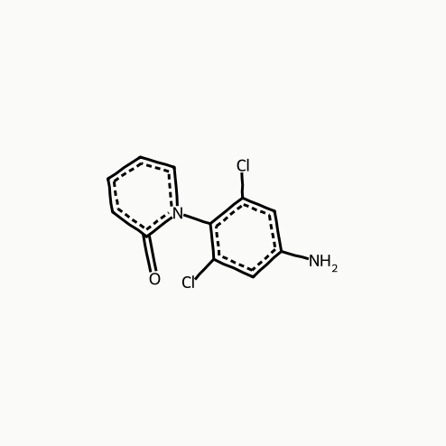 Nc1cc(Cl)c(-n2ccccc2=O)c(Cl)c1